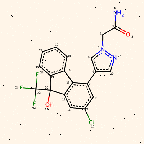 NC(=O)Cn1cc(-c2cc(Cl)cc3c2-c2ccccc2C3(O)C(F)(F)F)cn1